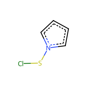 ClSn1cccc1